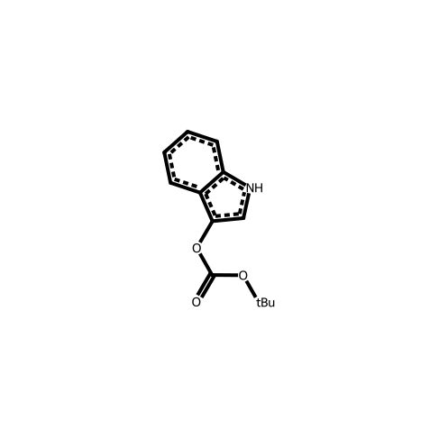 CC(C)(C)OC(=O)Oc1c[nH]c2ccccc12